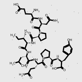 CC[C@H](C)[C@H](NC(=O)[C@@H]1CCCN1C(=O)[C@H](CC(N)=O)NC(=O)[C@@H](N)CCC(=O)O)C(=O)N[C@@H](CC(C)C)C(=O)N[C@@H](CCC(N)=O)C(=O)N1CCC[C@H]1C(=O)N[C@@H](Cc1ccc(O)cc1)C(=O)O